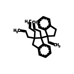 C=CCC1(CC=C)Cc2ccccc2C1(CC=C)C1(C=C)CCc2ccccc21